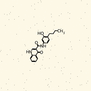 CCCCc1ccc(NC(=O)c2c[nH]c3ccccc3c2=O)cc1O